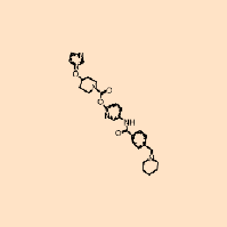 O=C(Nc1ccc(OC(=O)N2CCC(On3ccnc3)CC2)nc1)c1ccc(CN2CCCCC2)cc1